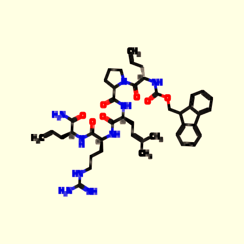 C=CC[C@H](NC(=O)[C@H](CCCNC(=N)N)NC(=O)[C@H](CC=C(C)C)NC(=O)C1CCCN1C(=O)[C@H](CC=C)NC(=O)OCC1c2ccccc2-c2ccccc21)C(N)=O